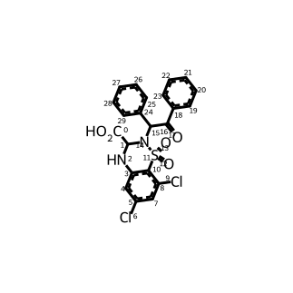 O=C(O)C1Nc2cc(Cl)cc(Cl)c2S(=O)(=O)N1C(C(=O)c1ccccc1)c1ccccc1